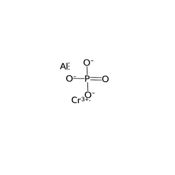 O=P([O-])([O-])[O-].[Al].[Cr+3]